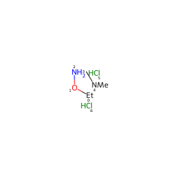 CCON.CNC.Cl.Cl